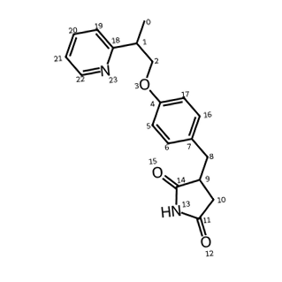 CC(COc1ccc(CC2CC(=O)NC2=O)cc1)c1ccccn1